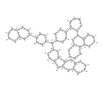 c1ccc(-c2cc3ccccc3c3ccccc23)c(-c2ccc(N(c3ccc(-c4ccc5ccccc5c4)cc3)c3ccc4oc5cc6ccccc6cc5c4c3)cc2)c1